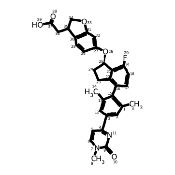 Cc1cc(-c2ccn(C)c(=O)n2)cc(C)c1-c1ccc(F)c2c1CC[C@H]2Oc1ccc2c(c1)OCC2CC(=O)O